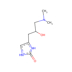 CN(C)CC(O)Cc1c[nH]c(=O)[nH]1